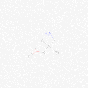 CCOCC(CC)(CC)CN